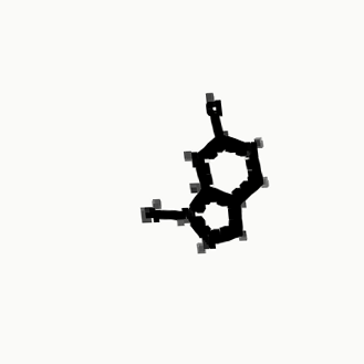 CC(C)n1ncc2cnc(Cl)nc21